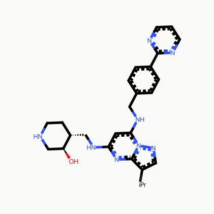 CC(C)c1cnn2c(NCc3ccc(-c4ncccn4)cc3)cc(NC[C@H]3CCNC[C@@H]3O)nc12